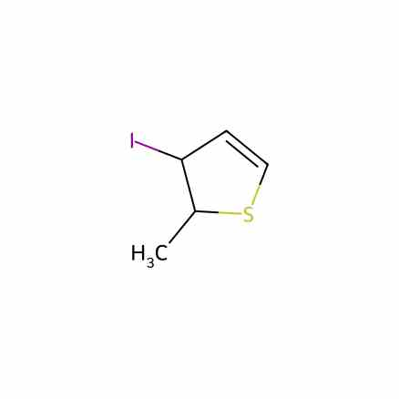 CC1SC=CC1I